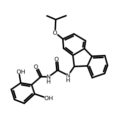 CC(C)Oc1ccc2c(c1)C(NC(=O)NC(=O)c1c(O)cccc1O)c1ccccc1-2